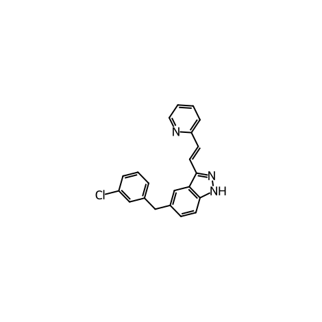 Clc1cccc(Cc2ccc3[nH]nc(C=Cc4ccccn4)c3c2)c1